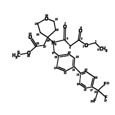 CCOC(=O)CC(=O)N(Cc1ccc(-c2ccc(C(F)(F)F)cc2)cc1)C1(CC(=O)OC)CCOCC1